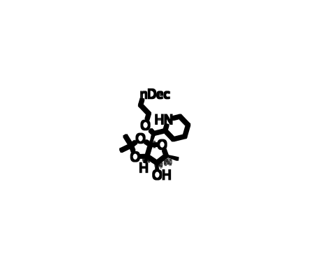 CCCCCCCCCCCCOC(C1CCCCN1)[C@@]12O[C@@H](C)[C@@H](O)[C@@H]1OC(C)(C)O2